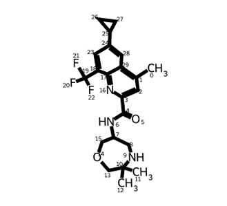 Cc1cc(C(=O)NC2CNC(C)(C)COC2)nc2c(C(F)(F)F)cc(C3CC3)cc12